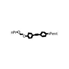 CCCCCc1ccc(C#Cc2ccc(OCCOCCC)cc2)cc1